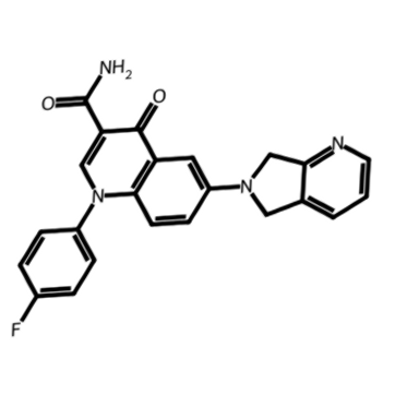 NC(=O)c1cn(-c2ccc(F)cc2)c2ccc(N3Cc4cccnc4C3)cc2c1=O